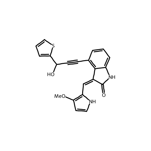 COc1cc[nH]c1/C=C1\C(=O)Nc2cccc(C#CC(O)c3cccs3)c21